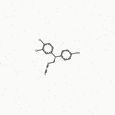 Oc1ccc([C@@H](CN=C=S)c2ccc(Cl)c(Cl)c2)cc1